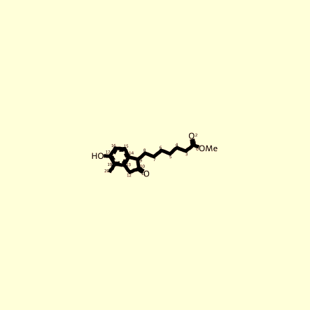 COC(=O)CCCCCCC1C(=O)Cc2c1ccc(O)c2C